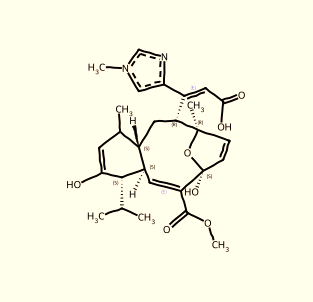 COC(=O)/C1=C/[C@@H]2[C@@H](C[C@H](/C(=C\C(=O)O)c3cn(C)cn3)[C@@]3(C)C=C[C@]1(O)O3)C(C)C=C(O)[C@H]2C(C)C